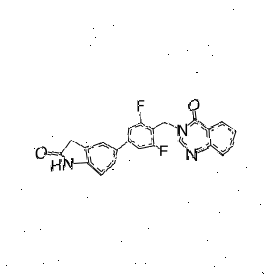 O=C1Cc2cc(-c3cc(F)c(Cn4cnc5ccccc5c4=O)c(F)c3)ccc2N1